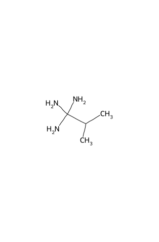 CC(C)C(N)(N)N